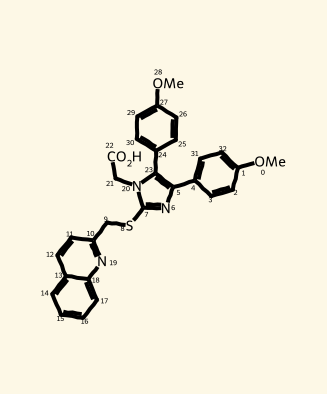 COc1ccc(-c2nc(SCc3ccc4ccccc4n3)n(CC(=O)O)c2-c2ccc(OC)cc2)cc1